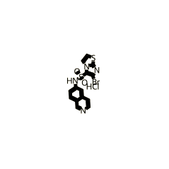 Cl.O=S(=O)(Nc1ccc2cnccc2c1)c1c(Br)nc2sccn12